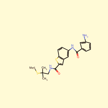 CSSC(C)(C)CNC(=O)c1cc2cc(NC(=O)c3cccc(N)c3)ccc2s1